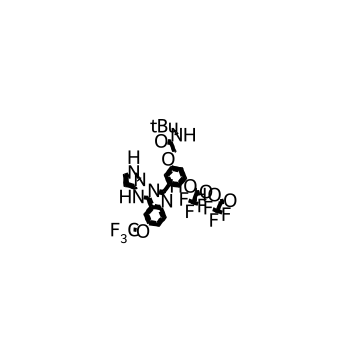 CC(C)(C)NC(=O)COc1cccc(-c2nc(Nc3cc[nH]n3)c3cc(OC(F)(F)F)ccc3n2)c1.O=C(O)C(F)(F)F.O=C(O)C(F)(F)F